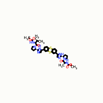 COC(=O)N[C@@H](C)C(=O)N1CCC[C@H]1c1ncc(-c2ccc3c(c2)Sc2cc(-c4cnc([C@@H]5CCCN5C(=O)[C@@H](NC(=O)OC)C(C)C)[nH]4)ccc2S3)[nH]1